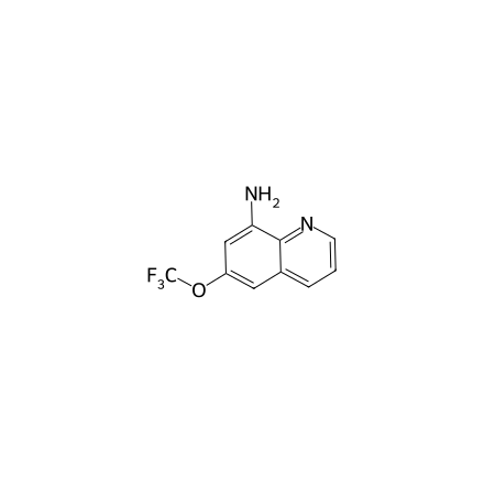 Nc1cc(OC(F)(F)F)cc2cccnc12